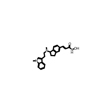 CN(CCc1cn(C)c2ccccc12)C1CCc2cc(C=CC(=O)NO)ccc21